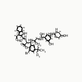 CC(C)(C)c1cc(Br)cc(C(NC(=O)CNC(O)c2cc(O)cc(NC3=NCC(O)CN3)c2)C(NC(O)c2[nH]c3ccccc3c2C=O)C(=O)O)c1